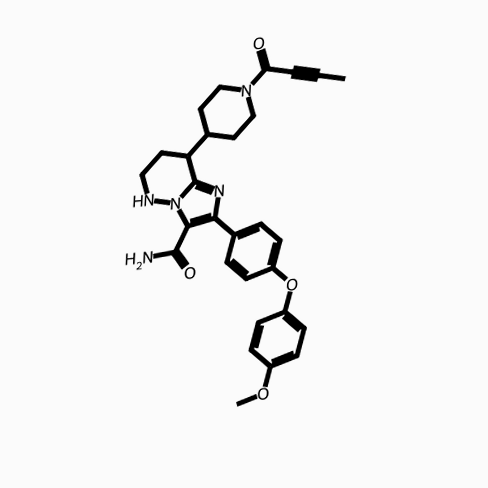 CC#CC(=O)N1CCC(C2CCNn3c2nc(-c2ccc(Oc4ccc(OC)cc4)cc2)c3C(N)=O)CC1